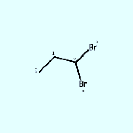 [CH2]CC(Br)Br